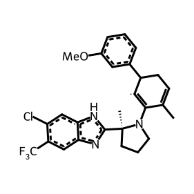 COc1cccc(C2[C]=C(N3CCC[C@@]3(C)c3nc4cc(C(F)(F)F)c(Cl)cc4[nH]3)C(C)=CC2)c1